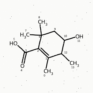 CC1=C(C(=O)O)C(C)(C)CC(O)C1C